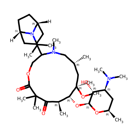 CO[C@]1(C)C[C@@H](C)CN(C)C(C2C[C@H]3CC[C@@H](C2)N3C(C)C)COC(=O)C(C)(C)C(=O)[C@H](C)[C@H]1O[C@@H]1O[C@H](C)C[C@H](N(C)C)[C@H]1O